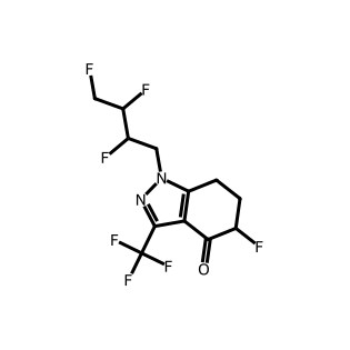 O=C1c2c(C(F)(F)F)nn(CC(F)C(F)CF)c2CCC1F